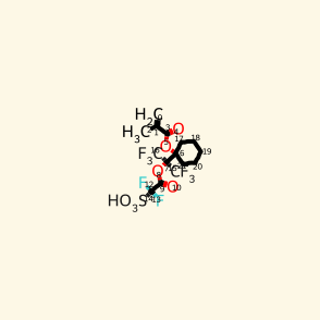 C=C(C)C(=O)OC1(C(OC(=O)C(F)(F)S(=O)(=O)O)(C(F)(F)F)C(F)(F)F)CCCCC1